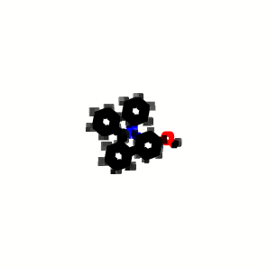 COc1ccc2c(c1)N(c1ccccc1)B(c1ccccc1)c1ccccc1-2